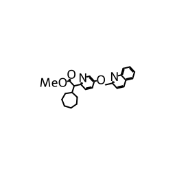 COC(=O)C(c1ccc(OCc2ccc3ccccc3n2)cn1)C1CCCCCC1